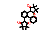 CC1(C)C(=O)C(c2cccc(C3C(=O)C(C)(C)C(C)(C)C3=O)c2-c2ccccc2Br)C(=O)C1(C)C